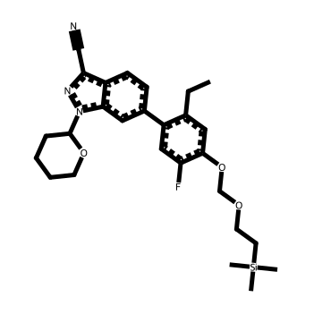 CCc1cc(OCOCC[Si](C)(C)C)c(F)cc1-c1ccc2c(C#N)nn(C3CCCCO3)c2c1